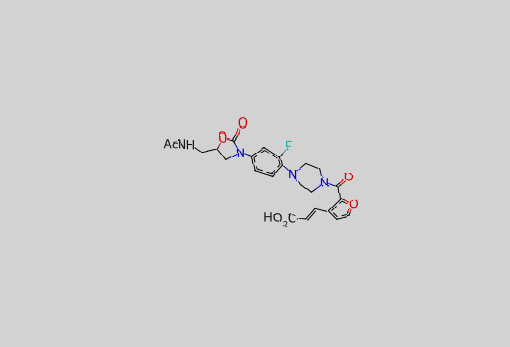 CC(=O)NCC1CN(c2ccc(N3CCN(C(=O)c4occc4C=CC(=O)O)CC3)c(F)c2)C(=O)O1